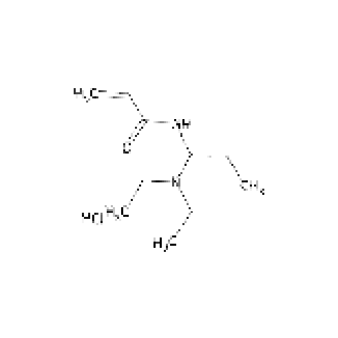 C=CC(=O)NC(CC)N(CC)CC.Cl